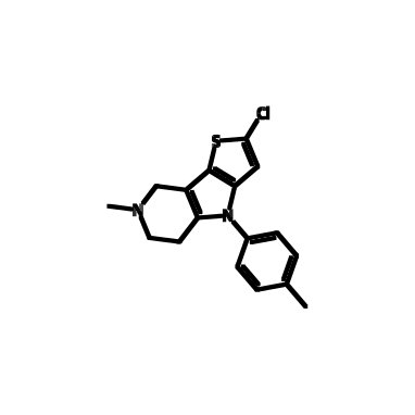 Cc1ccc(-n2c3c(c4sc(Cl)cc42)CN(C)CC3)cc1